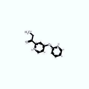 CCC(=O)c1cc(Oc2ccccn2)ccn1